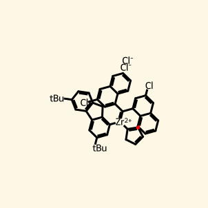 CC(C)(C)c1ccc2c(c1)-c1cc(C(C)(C)C)c[c]([Zr+2]([C]3=CC=CC3)=[C](c3cc(Cl)cc4ccccc34)c3cc(Cl)cc4ccccc34)c1C2.[Cl-].[Cl-]